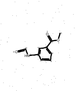 COC(=O)c1cccc(NC=O)c1